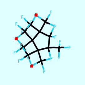 FC(F)(F)C1(F)C(F)(F)C(C(F)(F)F)(C(F)(F)F)C(C(F)(F)F)(C(F)(F)F)C1(C(F)(F)F)C(F)(F)F